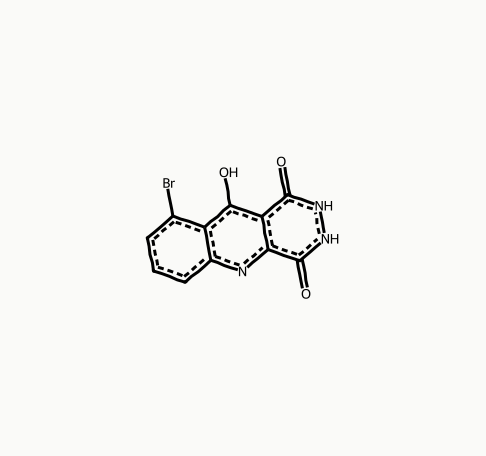 O=c1[nH][nH]c(=O)c2c(O)c3c(Br)cccc3nc12